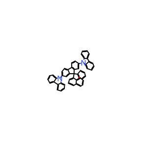 c1ccc(C2(c3cccc4ccccc34)c3cc(-n4c5ccccc5c5ccccc54)ccc3-c3ccc(-n4c5ccccc5c5ccccc54)cc32)cc1